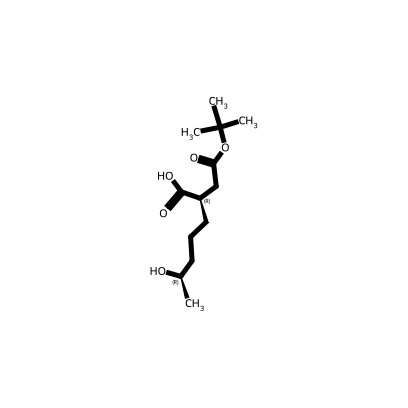 C[C@@H](O)CCC[C@H](CC(=O)OC(C)(C)C)C(=O)O